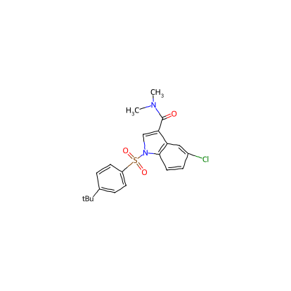 CN(C)C(=O)c1cn(S(=O)(=O)c2ccc(C(C)(C)C)cc2)c2ccc(Cl)cc12